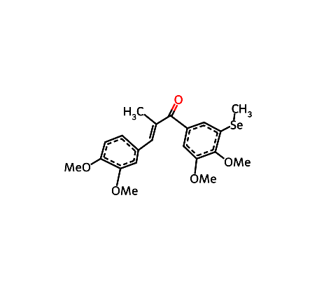 COc1ccc(/C=C(\C)C(=O)c2cc(OC)c(OC)c([Se]C)c2)cc1OC